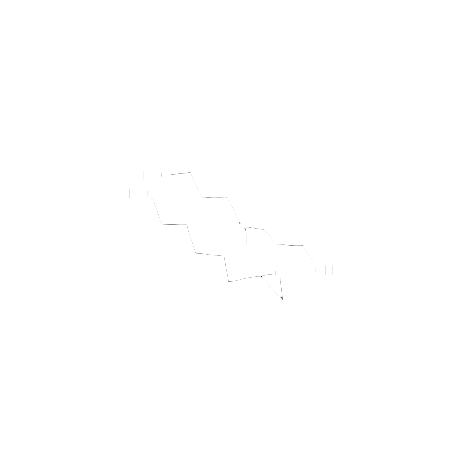 CCCCCCC1CO1.CCCCNCCCC